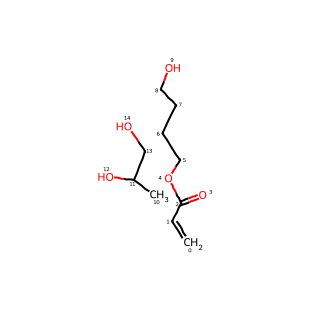 C=CC(=O)OCCCCO.CC(O)CO